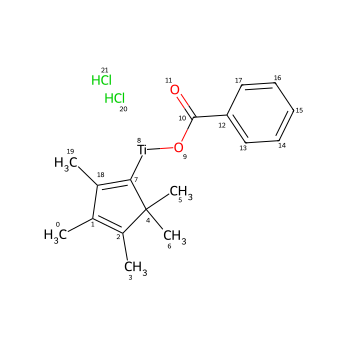 CC1=C(C)C(C)(C)[C]([Ti][O]C(=O)c2ccccc2)=C1C.Cl.Cl